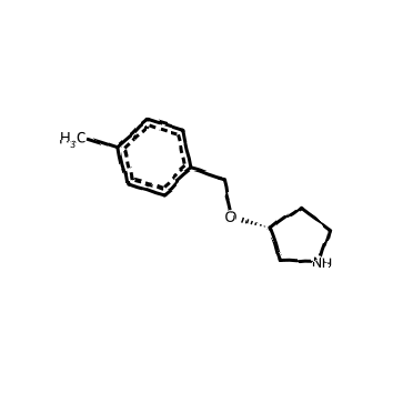 Cc1ccc(CO[C@@H]2CCNC2)cc1